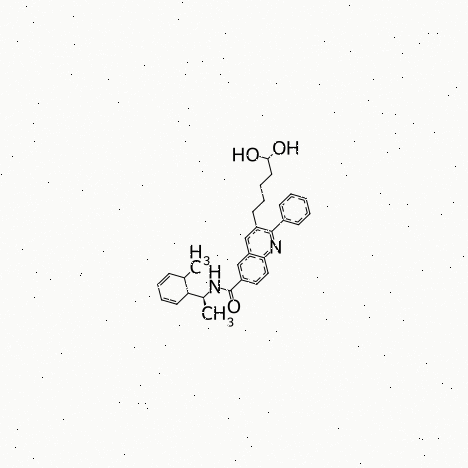 CC1C=CC=CC1[C@H](C)NC(=O)c1ccc2nc(-c3ccccc3)c(CCCCC(O)O)cc2c1